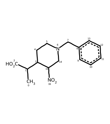 CC(C(=O)O)C1CCN(Cc2ccccc2)CC1[N+](=O)[O-]